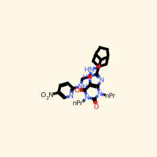 CCCn1c(=O)c2[nH]c(C3CC4CCC(C3)C4CNCCNc3ccc([N+](=O)[O-])cn3)nc2n(CCC)c1=O